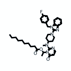 CCCCCCCCCC(=O)OC(C)n1c(N(C)C2CCN(c3nc4ccccc4n3Cc3ccc(F)cc3)CC2)nccc1=O